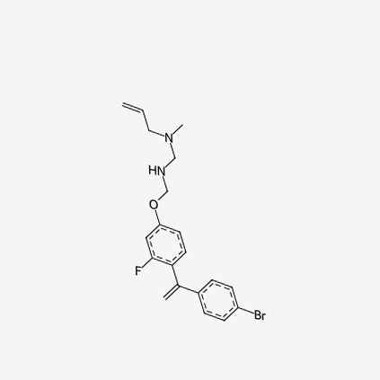 C=CCN(C)CNCOc1ccc(C(=C)c2ccc(Br)cc2)c(F)c1